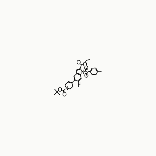 CCOC(=O)c1cc2cc(C3=CCN(C(=O)OC(C)(C)C)CC3)c(F)cc2n1S(=O)(=O)c1ccc(C)cc1